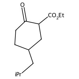 CCOC(=O)C1CC(CC(C)C)CCC1=O